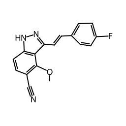 COc1c(C#N)ccc2[nH]nc(/C=C/c3ccc(F)cc3)c12